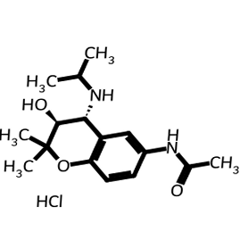 CC(=O)Nc1ccc2c(c1)[C@@H](NC(C)C)[C@H](O)C(C)(C)O2.Cl